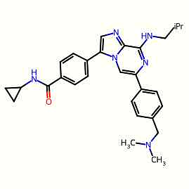 CC(C)CNc1nc(-c2ccc(CN(C)C)cc2)cn2c(-c3ccc(C(=O)NC4CC4)cc3)cnc12